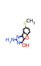 CSc1ccc2oc3c(O)nc(N)nc3c2c1